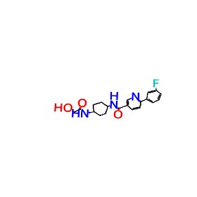 O=C(CO)N[C@H]1CC[C@@H](NC(=O)c2ccc(-c3cccc(F)c3)nc2)CC1